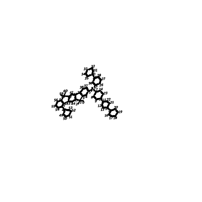 CC1(C)c2cc(N(c3ccc(-c4ccc(-c5ccccc5)cc4)cc3)c3cccc(-c4ccccc4)c3)ccc2-c2cc3c(cc21)-c1c(-c2ccccc2)cccc1C3(C)C